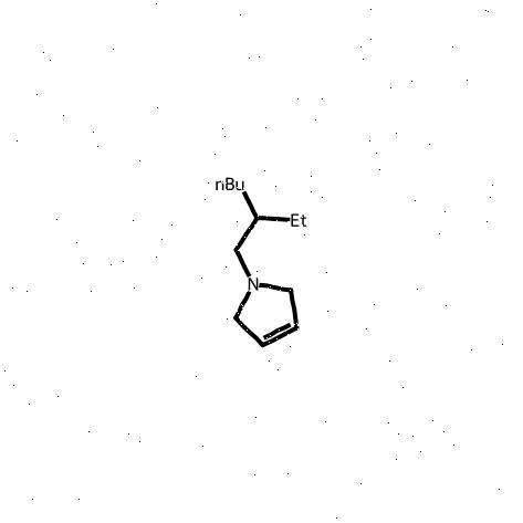 CCCCC(CC)CN1CC=CC1